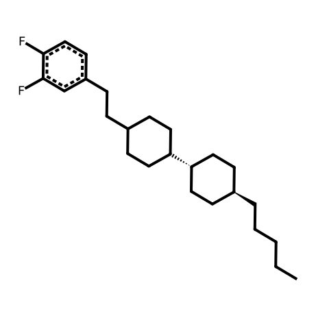 CCCCC[C@H]1CC[C@H](C2CCC(CCc3ccc(F)c(F)c3)CC2)CC1